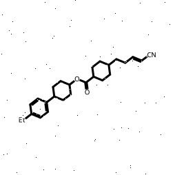 CCc1ccc(C2CCC(OC(=O)C3CCC(CC/C=C/C#N)CC3)CC2)cc1